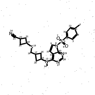 Cc1ccc(S(=O)(=O)n2ccc3c(N(C)C4CC(CSC5CC(C#N)C5)C4)ncnc32)cc1